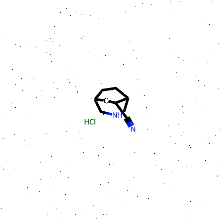 Cl.N#CC1CC2CCC1CNC2